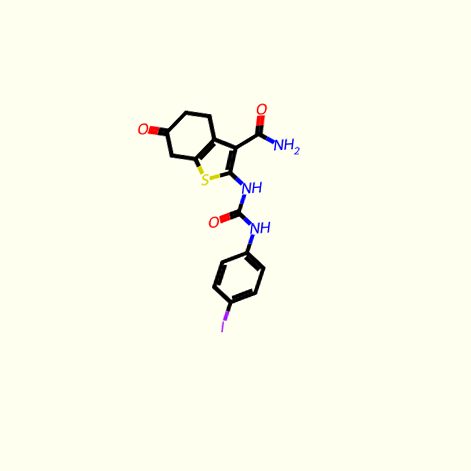 NC(=O)c1c(NC(=O)Nc2ccc(I)cc2)sc2c1CCC(=O)C2